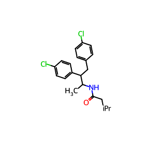 CC(C)CC(=O)NC(C)C(Cc1ccc(Cl)cc1)c1ccc(Cl)cc1